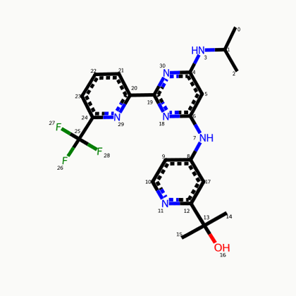 CC(C)Nc1cc(Nc2ccnc(C(C)(C)O)c2)nc(-c2cccc(C(F)(F)F)n2)n1